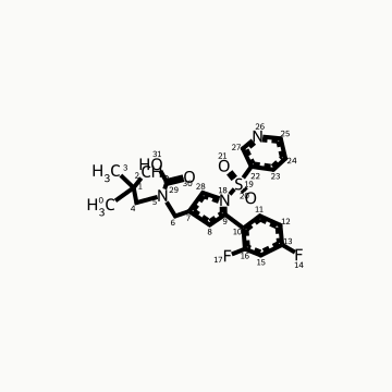 CC(C)(C)CN(Cc1cc(-c2ccc(F)cc2F)n(S(=O)(=O)c2cccnc2)c1)C(=O)O